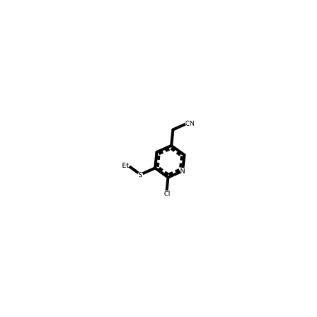 CCSc1cc(CC#N)cnc1Cl